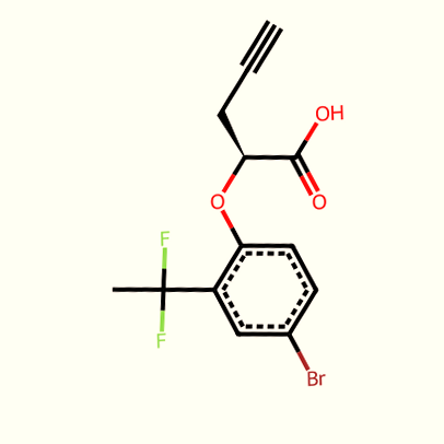 C#CC[C@H](Oc1ccc(Br)cc1C(C)(F)F)C(=O)O